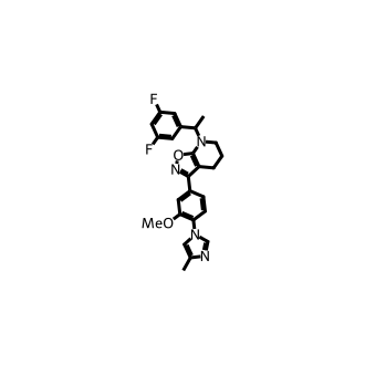 COc1cc(-c2noc3c2CCCN3C(C)c2cc(F)cc(F)c2)ccc1-n1cnc(C)c1